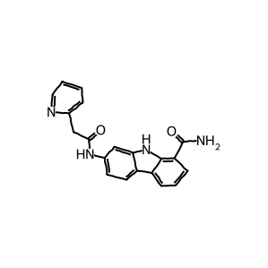 NC(=O)c1cccc2c1[nH]c1cc(NC(=O)Cc3ccccn3)ccc12